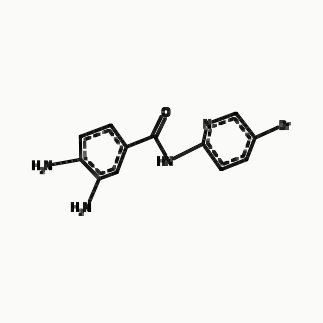 Nc1ccc(C(=O)Nc2ccc(Br)cn2)cc1N